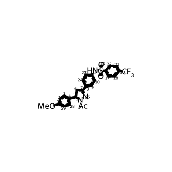 COc1ccc(C2CC(c3ccc(NS(=O)(=O)c4ccc(C(F)(F)F)cc4)cc3)=NN2C(C)=O)cc1